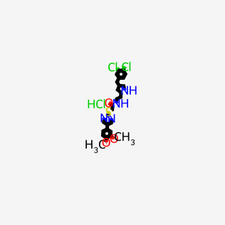 COc1ccc(-c2cnc(SCC(=O)NCCC3CC(Cc4ccc(Cl)c(Cl)c4)CN3)nc2)cc1OC.Cl